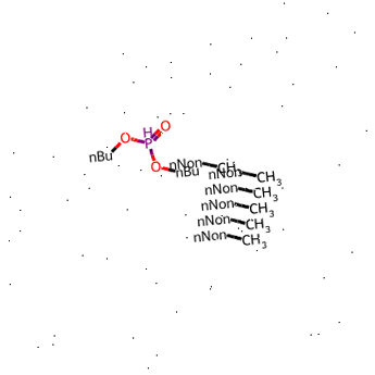 CCCCCCCCCC.CCCCCCCCCC.CCCCCCCCCC.CCCCCCCCCC.CCCCCCCCCC.CCCCCCCCCC.CCCCO[PH](=O)OCCCC